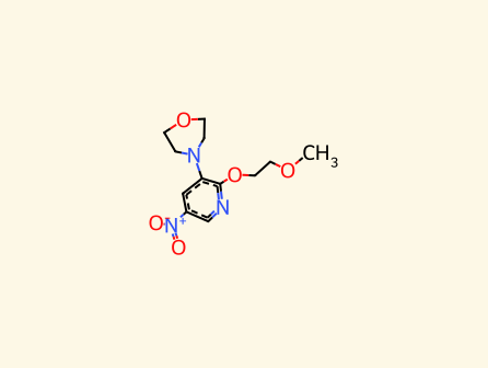 COCCOc1ncc([N+](=O)[O-])cc1N1CCOCC1